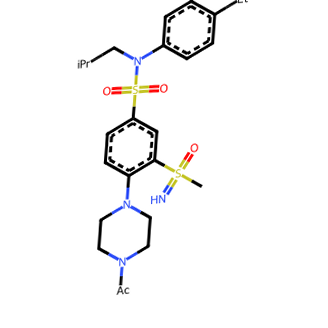 CCc1ccc(N(CC(C)C)S(=O)(=O)c2ccc(N3CCN(C(C)=O)CC3)c(S(C)(=N)=O)c2)cc1